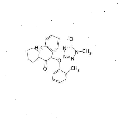 Cc1ccccc1OC(C(=O)C1CCCCC1)c1c(C)cccc1-n1nnn(C)c1=O